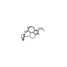 Cn1nc2c3c(c(=O)nccc31)[C@H](C1CN3CCC1CC3)CC2